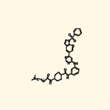 CN(C)C/C=C/C(=O)NC1CCC(C(=O)Nc2cccc(Nc3cc(-c4cnc5c(ccn5S(=O)(=O)c5ccccc5)c4)ncn3)c2)CC1